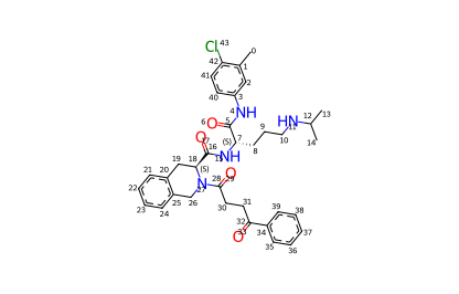 Cc1cc(NC(=O)[C@H](CCCNC(C)C)NC(=O)[C@@H]2Cc3ccccc3CN2C(=O)CCC(=O)c2ccccc2)ccc1Cl